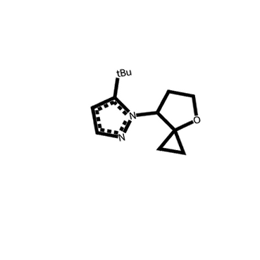 CC(C)(C)c1ccnn1C1CCOC12CC2